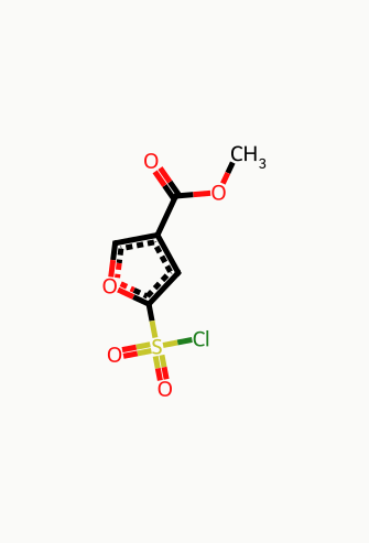 COC(=O)c1coc(S(=O)(=O)Cl)c1